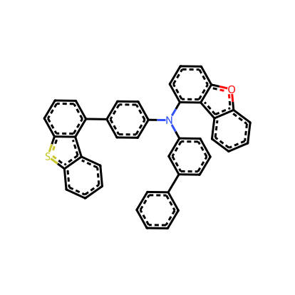 c1ccc(-c2cccc(N(c3ccc(-c4cccc5sc6ccccc6c45)cc3)c3cccc4oc5ccccc5c34)c2)cc1